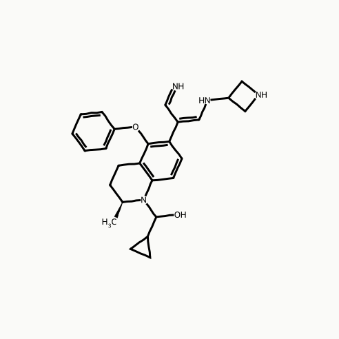 C[C@H]1CCc2c(ccc(/C(C=N)=C/NC3CNC3)c2Oc2ccccc2)N1C(O)C1CC1